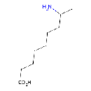 CC(N)CCCCCCC(=O)O